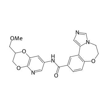 COCC1COc2ncc(NC(=O)c3ccc4c(c3)-c3cncn3CCO4)cc2O1